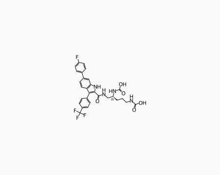 O=C(O)NCCC[C@@H](CNC(=O)c1[nH]c2cc(-c3ccc(F)cc3)ccc2c1-c1ccc(C(F)(F)F)cc1)NC(=O)O